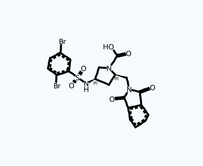 O=C1c2ccccc2C(=O)N1C[C@H]1C[C@@H](NS(=O)(=O)c2cc(Br)ccc2Br)CN1C(=O)O